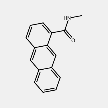 CNC(=O)c1cccc2cc3ccccc3cc12